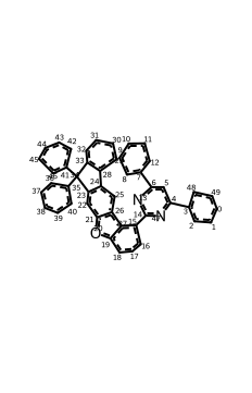 c1ccc(-c2cc(-c3ccccc3)nc(-c3cccc4oc5cc6c(cc5c34)-c3ccccc3C6(c3ccccc3)c3ccccc3)n2)cc1